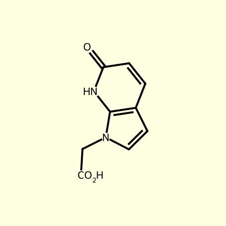 O=C(O)Cn1ccc2ccc(=O)[nH]c21